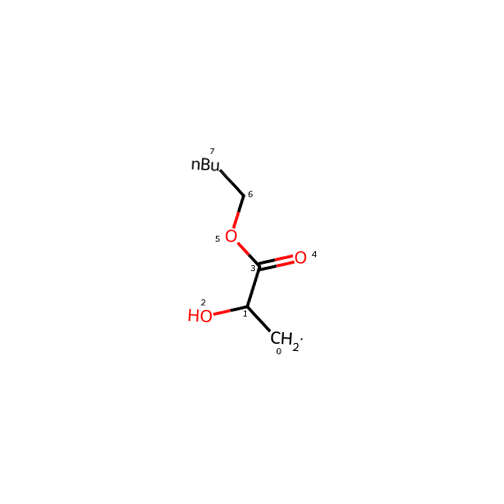 [CH2]C(O)C(=O)OCCCCC